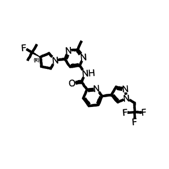 Cc1nc(NC(=O)c2cccc(-c3cnn(CC(F)(F)F)c3)n2)cc(N2CC[C@@H](C(C)(C)F)C2)n1